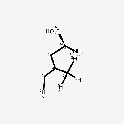 [2H]CC(C[C@H](N)C(=O)O)C([2H])([2H])[2H]